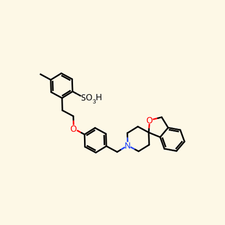 Cc1ccc(S(=O)(=O)O)c(CCOc2ccc(CN3CCC4(CC3)OCc3ccccc34)cc2)c1